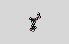 c1ccc(-c2nc(-c3ccc(-c4nc5c6ccccc6oc5c5ccccc45)cc3)nc(-c3ccc(-c4cccc5c4sc4ccccc45)cc3)n2)cc1